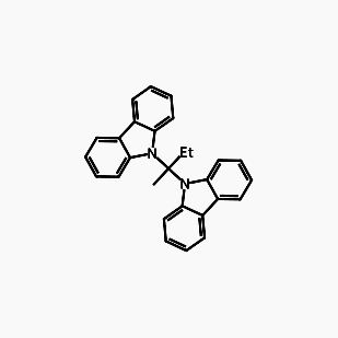 CCC(C)(n1c2ccccc2c2ccccc21)n1c2ccccc2c2ccccc21